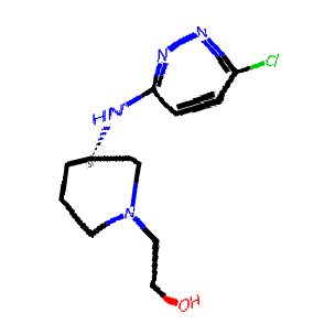 OCCN1CCC[C@H](Nc2ccc(Cl)nn2)C1